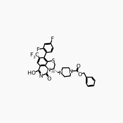 O=C(OCc1ccccc1)N1CCN(C[C@H]2CSc3c(-c4ccc(F)cc4F)c(C(F)(F)F)cc4c(O)nc(=O)n2c34)CC1